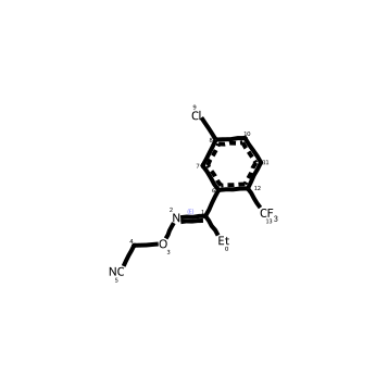 CC/C(=N\OCC#N)c1cc(Cl)ccc1C(F)(F)F